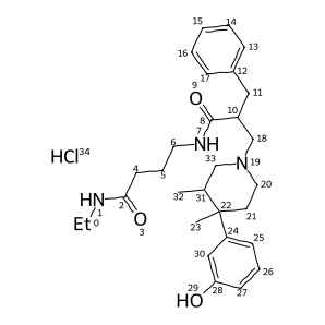 CCNC(=O)CCCNC(=O)C(Cc1ccccc1)CN1CCC(C)(c2cccc(O)c2)C(C)C1.Cl